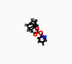 O=C(Oc1ccccn1)OC12CC3CC(CC(C3)C1)C2